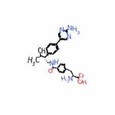 CC(C)[C@@H](CNC(=O)c1ccc(CC(N)C(=O)O)cc1)c1ccc(-c2cnc(N)nc2)cc1